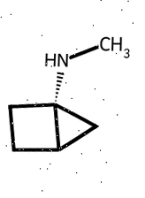 CN[C@@]12CCC1C2